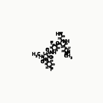 CCn1cc(C(=O)Nc2ccc(OC3=CC(c4cnn(C)c4)=CN/C3=C\C=N)c(F)c2)c(=O)n(-c2ccc(F)cc2)c1=O